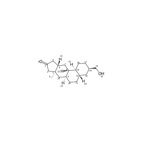 C[C@]12CC(=O)C[C@@H]1C[C@H]1[C@@H](CC[C@H]3C[C@H](CO)CC[C@@H]31)C2